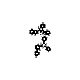 c1ccc(C2=NC(c3ccc(-n4c5ccccc5c5c6c(oc54)c(-c4ccc5ccccc5c4)nc4ccccc46)cc3)NC(c3cccc(-c4ccccc4)c3)=N2)cc1